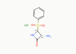 Cl.N[C@@H]1C(=O)N[C@H]1S(=O)(=O)c1ccccc1